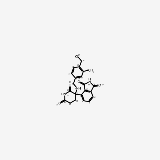 Cc1cc(CNC2(c3cccc4c3C(=O)NC4=O)CCC(=O)NC2=O)ccc1CCl